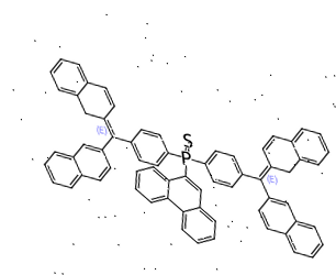 S=P(c1ccc(/C(=C2\C=Cc3ccccc3C2)c2ccc3ccccc3c2)cc1)(c1ccc(/C(=C2\C=Cc3ccccc3C2)c2ccc3ccccc3c2)cc1)c1cc2ccccc2c2ccccc12